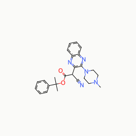 CN1CCN(c2nc3ccccc3nc2C(C#N)C(=O)OC(C)(C)c2ccccc2)CC1